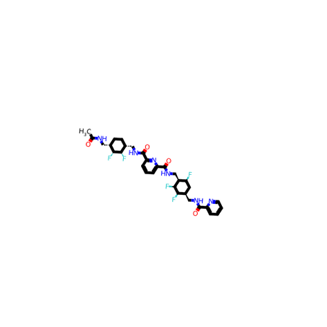 CC(=O)NC[C@@H]1CC[C@H](CNC(=O)c2cccc(C(=O)NC[C@@H]3[C@H](F)[C@H](F)[C@H](CNC(=O)c4ccccn4)C[C@@H]3F)n2)[C@H](F)[C@@H]1F